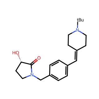 CC(C)(C)N1CCC(=Cc2ccc(CN3CC[C@H](O)C3=O)cc2)CC1